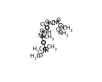 COCCn1nc(C)c(-c2ccc(-c3cnc(C(=O)Nc4ccc(C(=O)N5CCN(C(=O)C6CC[N+](C)(CC(N)=O)CC6)CC5)c(Cl)c4)n3C)cc2)c1C